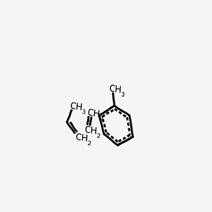 C=C.C=CC.Cc1ccccc1